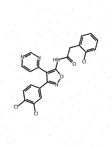 O=C(Cc1ccccc1Cl)Nc1onc(-c2ccc(Cl)c(Cl)c2)c1-c1ccncn1